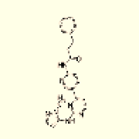 Cn1nccc1Nc1nccc(-c2ccc(NC(=O)CCc3ccccc3)nc2)n1